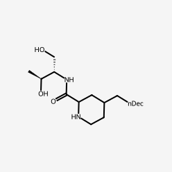 CCCCCCCCCCCC1CCNC(C(=O)N[C@@H](CO)[C@H](C)O)C1